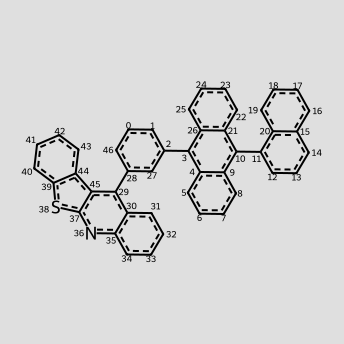 c1cc(-c2c3ccccc3c(-c3cccc4ccccc34)c3ccccc23)cc(-c2c3ccccc3nc3sc4ccccc4c23)c1